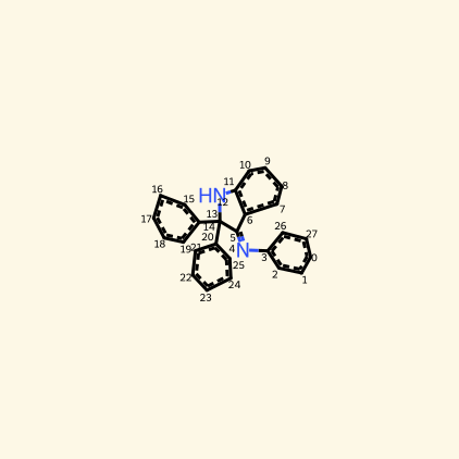 c1ccc(N=C2c3ccccc3NC2(c2ccccc2)c2ccccc2)cc1